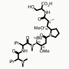 CC[C@H](C)[C@@H]([C@@H](CC(=O)N1CCCC1[C@H](OC)[C@@H](C)C(=O)NC(CO)C(=O)O)OC)N(C)C(=O)C(NC(=O)C(C(C)C)N(C)C)C(C)C